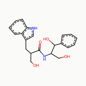 O=C(NC(CO)C(O)c1ccccc1)[C](CO)Cc1c[nH]c2ccccc12